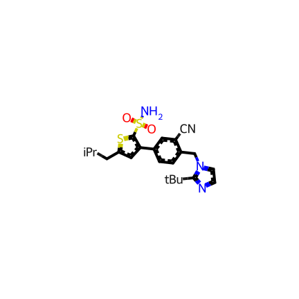 CC(C)Cc1cc(-c2ccc(Cn3ccnc3C(C)(C)C)c(C#N)c2)c(S(N)(=O)=O)s1